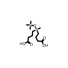 C[Si](C)(C)O[Si](C)(CCCC(=O)O)CCCC(=O)O